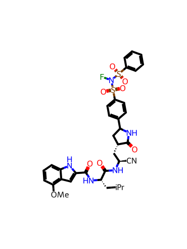 COc1cccc2[nH]c(C(=O)N[C@@H](CC(C)C)C(=O)N[C@H](C#N)C[C@@H]3CC(c4ccc(S(=O)(=O)N(F)S(=O)(=O)c5ccccc5)cc4)NC3=O)cc12